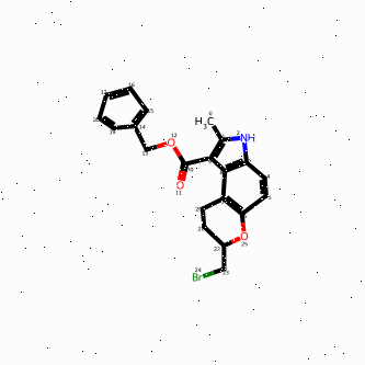 Cc1[nH]c2ccc3c(c2c1C(=O)OCc1ccccc1)CCC(CBr)O3